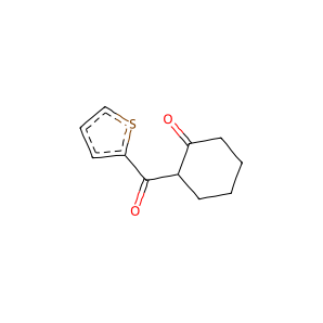 O=C1CCCCC1C(=O)c1cccs1